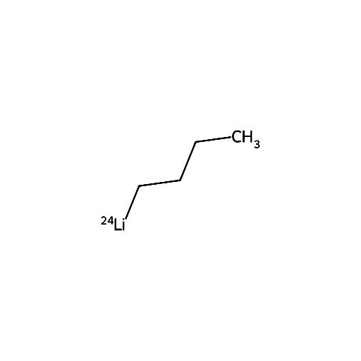 [24Li][CH2]CCC